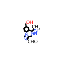 Cc1nnn2c1-c1cc(CO)ccc1-n1cnc(C=O)c1C2